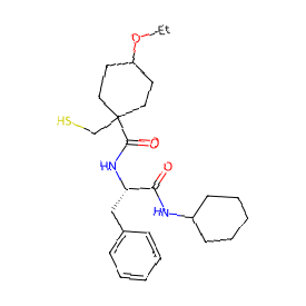 CCOC1CCC(CS)(C(=O)N[C@@H](Cc2ccccc2)C(=O)NC2CCCCC2)CC1